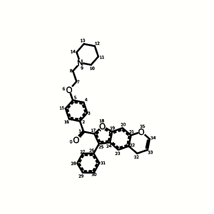 O=C(c1ccc(OCCN2CCCCC2)cc1)c1oc2cc3c(cc2c1-c1ccccc1)CC=CO3